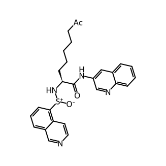 CC(=O)CCCCC[C@H](N[S+]([O-])c1cccc2cnccc12)C(=O)Nc1cnc2ccccc2c1